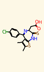 Cc1sc2c(c1C)C(c1ccc(Cl)cc1)=NC(CC(=O)O)C(=S)N2